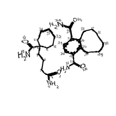 NC(=O)CCCC1(C(N)=O)CCCCCC1.NC(=O)c1ccc(C(N)=O)c2c1CCCCCC2